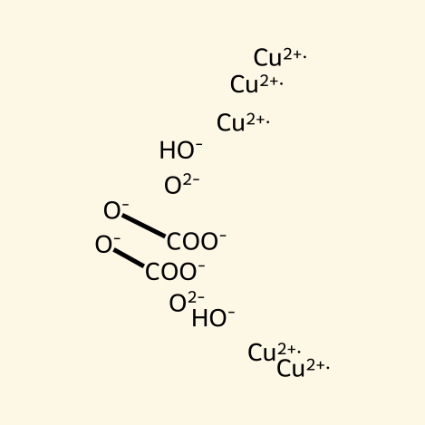 O=C([O-])[O-].O=C([O-])[O-].[Cu+2].[Cu+2].[Cu+2].[Cu+2].[Cu+2].[O-2].[O-2].[OH-].[OH-]